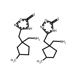 CC1CCC(CN)(Cc2noc(=S)[nH]2)C1.CC1CCC(CN)(Cc2noc(=S)[nH]2)C1